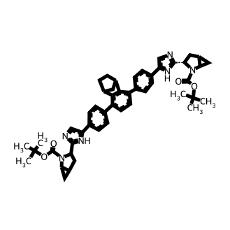 CC(C)(C)OC(=O)N1C(c2ncc(-c3ccc(-c4ccc(-c5ccc(-c6cnc([C@@H]7CC8CC8N7C(=O)OC(C)(C)C)[nH]6)cc5)c5c4C4CCC5C4)cc3)[nH]2)CC2CC21